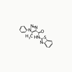 Cc1c(C(=O)Nc2nc3ccccc3s2)nnn1-c1ccccc1